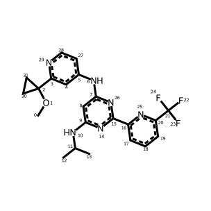 COC1(c2cc(Nc3cc(NC(C)C)nc(-c4cccc(C(F)(F)F)n4)n3)ccn2)CC1